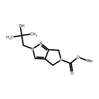 CC(C)(O)Cn1cc2c(n1)CN(C(=O)OC(C)(C)C)C2